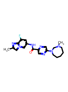 Cc1cn2cc(NC(=O)c3cnc(N4CCCCCN(C)C4)cn3)cc(F)c2n1